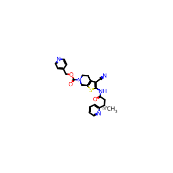 C[C@@H](CC(=O)Nc1sc2c(c1C#N)CCN(C(=O)OCc1ccncc1)C2)c1ccccn1